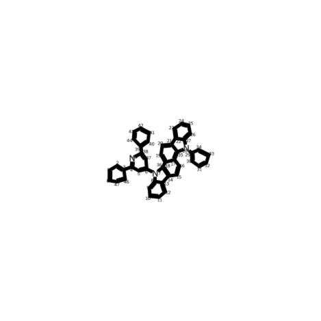 c1ccc(-c2cc(-n3c4ccccc4c4ccc5c(ccc6c7ccccc7n(-c7ccccc7)c65)c43)cc(-c3ccccc3)n2)cc1